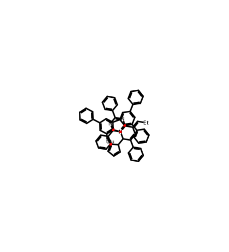 CC/C=C(\C=C(\c1ccccc1)C(C1C=CC=C1)n1c2c(-c3ccccc3)cc(-c3ccccc3)cc2c2cc(-c3ccccc3)cc(C(C)(C)C)c21)c1nc(-c2ccccc2)nc(-c2ccccc2)n1